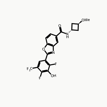 CO[C@H]1C[C@H](NC(=O)c2ccc3oc(-c4cc(C(F)(F)F)c(F)c(O)c4F)nc3c2)C1